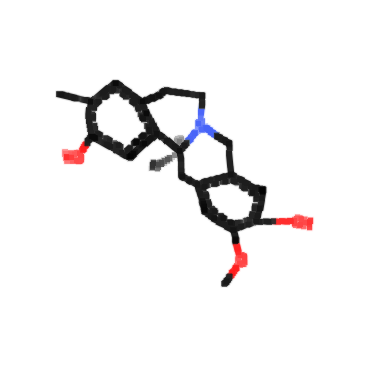 COc1cc2c(cc1O)CN1CCc3cc(C)c(O)cc3[C@@H]1C2